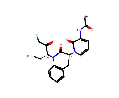 CC(C)C(=O)Nc1cccn([C@@H](Cc2ccccc2)C(=O)N[C@H](CC(=O)O)C(=O)CF)c1=O